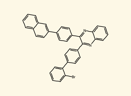 Brc1ccccc1-c1ccc(-c2nc3ccccc3nc2-c2ccc(-c3ccc4ccccc4c3)cc2)cc1